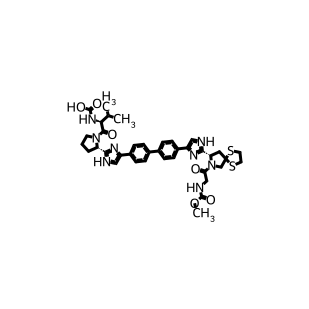 COC(=O)NCC(=O)N1CC2(C[C@H]1c1nc(-c3ccc(-c4ccc(-c5c[nH]c([C@@H]6CCCN6C(=O)[C@@H](NC(=O)O)C(C)C)n5)cc4)cc3)c[nH]1)SCCS2